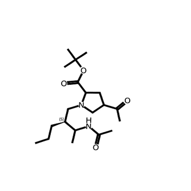 CCC[C@@H](CN1CC(C(C)=O)CC1C(=O)OC(C)(C)C)C(C)NC(C)=O